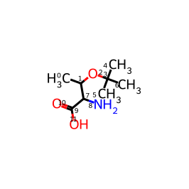 CC(OC(C)(C)C)C(N)C(=O)O